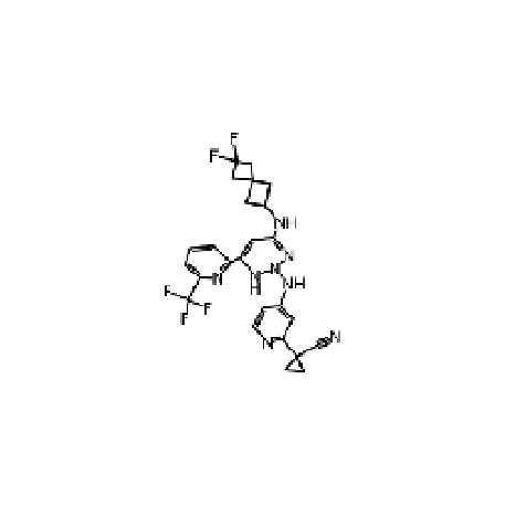 N#CC1(c2cc(NN3N=C(NC4CC5(C4)CC(F)(F)C5)C=C(c4cccc(C(F)(F)F)n4)N3)ccn2)CC1